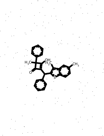 Cc1ccc2sc(C(C3=C(O)C(C)(c4ccccc4)C3=O)c3ccccc3)c(C)c2c1